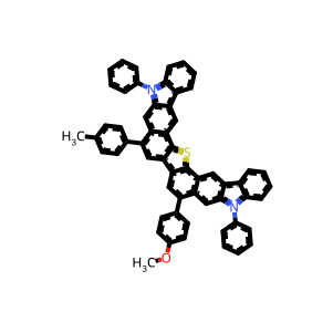 COc1ccc(-c2cc3c4cc(-c5ccc(C)cc5)c5cc6c(cc5c4sc3c3cc4c5ccccc5n(-c5ccccc5)c4cc23)c2ccccc2n6-c2ccccc2)cc1